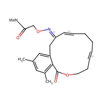 CNC(=O)CO/N=C1/C=C/CC/C=C/CCOC(=O)c2c(C)cc(C)cc2C1